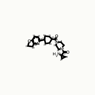 NC1(C(=O)N2CCN(C(=O)C3CCC(c4ccc5c(n4)CCO5)CC3)CC2)CC1